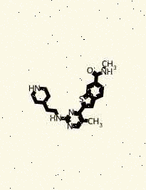 CNC(=O)c1ccc2cc(-c3nc(NCCC4CCNCC4)ncc3C)sc2c1